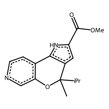 COC(=O)c1cc2c([nH]1)-c1ccncc1OC2(C)C(C)C